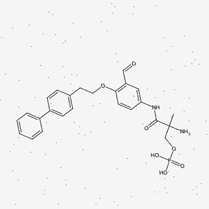 CC(N)(COP(=O)(O)O)C(=O)Nc1ccc(OCCc2ccc(-c3ccccc3)cc2)c(C=O)c1